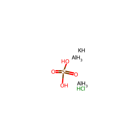 Cl.O=S(=O)(O)O.[AlH3].[AlH3].[KH]